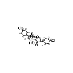 CC(C)(CC(O)(C(=O)C(=O)C(C)(C)c1ccc(Cl)cc1)C(F)(F)F)c1ccc(Cl)cc1